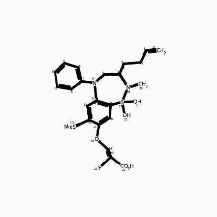 C=CCCC1CN(c2ccccc2)c2cc(SC)c(OC=C(F)C(=O)O)cc2S(O)(O)N1C